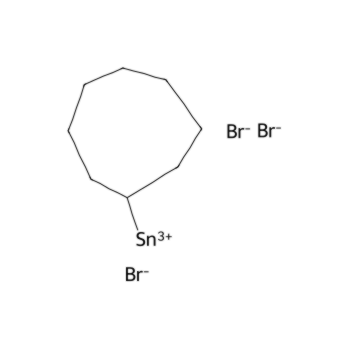 [Br-].[Br-].[Br-].[Sn+3][CH]1CCCCCCC1